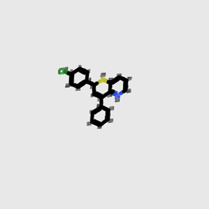 Clc1ccc(C2C=C(c3ccccc3)c3ncccc3S2)cc1